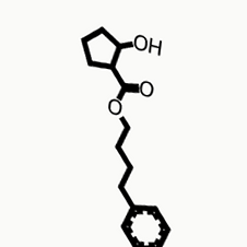 O=C(OCCCCc1ccccc1)C1CCCC1O